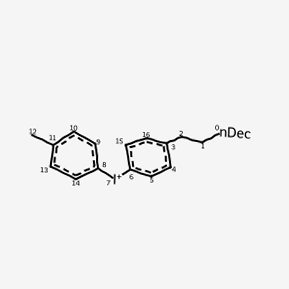 CCCCCCCCCCCCc1ccc([I+]c2ccc(C)cc2)cc1